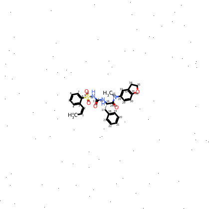 C/C=C\c1ccccc1S(=O)(=O)NC(=O)N[C@@H](Cc1ccccc1)C(=O)N(C)c1ccc2c(c1)CCO2